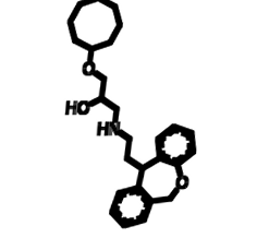 OC(CNCCC1c2ccccc2COc2ccccc21)COC1CCCCCCC1